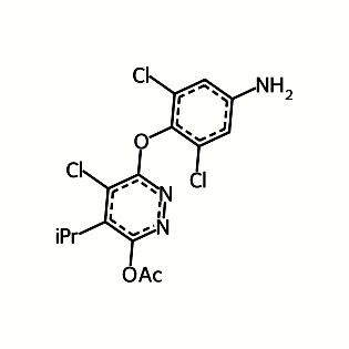 CC(=O)Oc1nnc(Oc2c(Cl)cc(N)cc2Cl)c(Cl)c1C(C)C